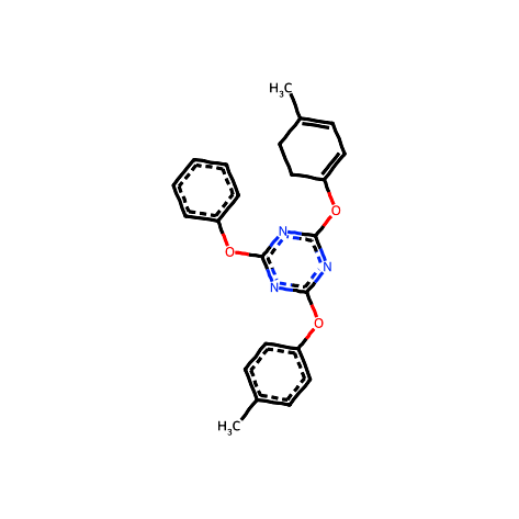 CC1=CC=C(Oc2nc(Oc3ccccc3)nc(Oc3ccc(C)cc3)n2)CC1